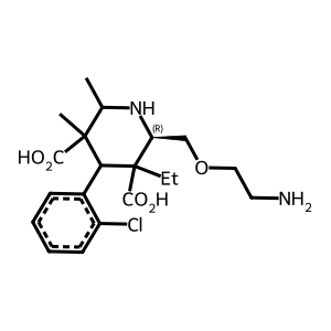 CCC1(C(=O)O)C(c2ccccc2Cl)C(C)(C(=O)O)C(C)N[C@H]1COCCN